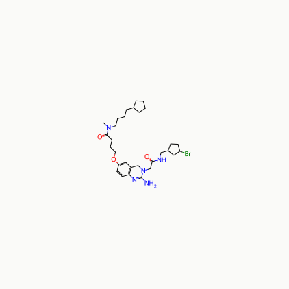 CN(CCCCC1CCCC1)C(=O)CCCOc1ccc2c(c1)CN(CC(=O)NCC1CCC(Br)C1)C(N)=N2